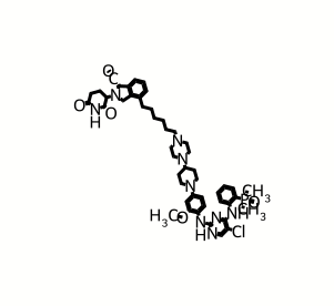 COc1cc(N2CCC(N3CCN(CCCCCCc4cccc5c4CN(C4CCC(=O)NC4=O)C5=C=O)CC3)CC2)ccc1Nc1ncc(Cl)c(Nc2ccccc2P(C)(C)=O)n1